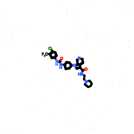 O=C(Nc1ccc(-n2cc(C(=O)NCCN3CCCCC3)c3ccncc32)cc1)Nc1ccc(Cl)c(C(F)(F)F)c1